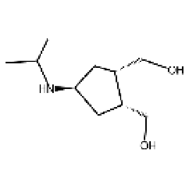 CC(C)N[C@@H]1C[C@@H](CO)[C@@H](CO)C1